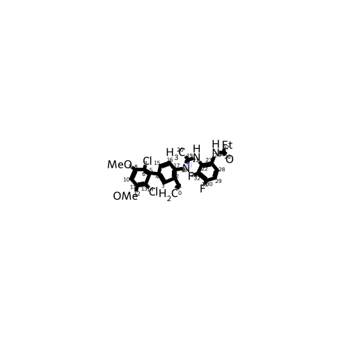 C=Cc1cc(-c2c(Cl)c(OC)cc(OC)c2Cl)ccc1/N=C(\C)Nc1c(NC(=O)CC)ccc(F)c1F